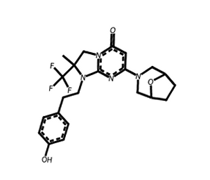 CC1(C(F)(F)F)Cn2c(nc(N3CC4CCC(C3)O4)cc2=O)N1CCc1ccc(O)cc1